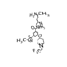 C/C(N)=C/C=C(\N)CNC(=O)c1cc(OC2CCN(CC(F)(F)F)CC2)cc(-c2ncc(C)s2)c1